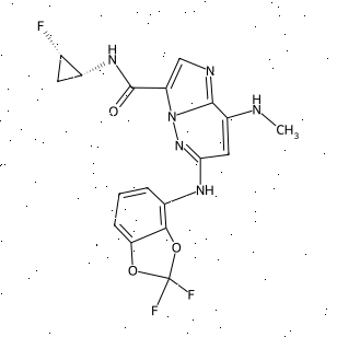 CNc1cc(Nc2cccc3c2OC(F)(F)O3)nn2c(C(=O)N[C@@H]3C[C@@H]3F)cnc12